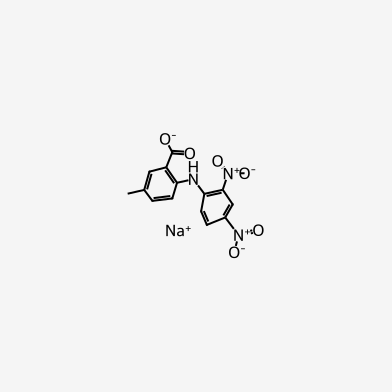 Cc1ccc(Nc2ccc([N+](=O)[O-])cc2[N+](=O)[O-])c(C(=O)[O-])c1.[Na+]